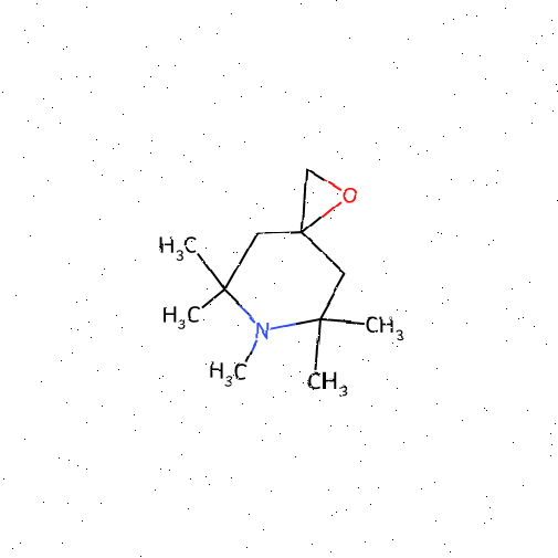 CN1C(C)(C)CC2(CO2)CC1(C)C